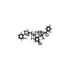 Cc1ccccc1C1CCC(CNC(=O)c2ccc(Br)cc2NC(=S)NC(=O)c2ccccc2)O1